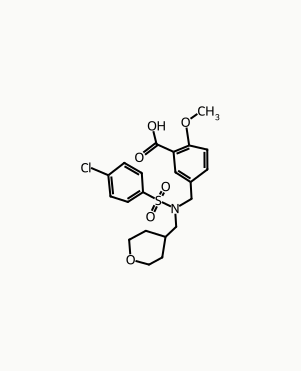 COc1ccc(CN(CC2CCOCC2)S(=O)(=O)c2ccc(Cl)cc2)cc1C(=O)O